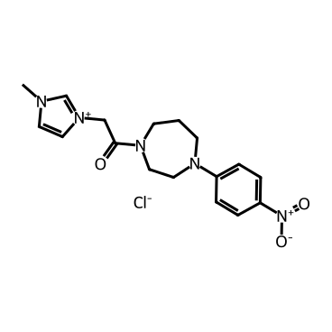 Cn1cc[n+](CC(=O)N2CCCN(c3ccc([N+](=O)[O-])cc3)CC2)c1.[Cl-]